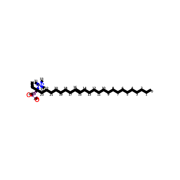 CCCCCCCCCCCCCCCC=CCCCCCCCC(CC)(P(=O)=O)[N+](C)(C)C